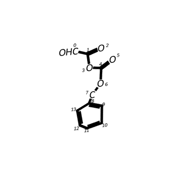 O=CC(=O)OC(=O)OCc1ccccc1